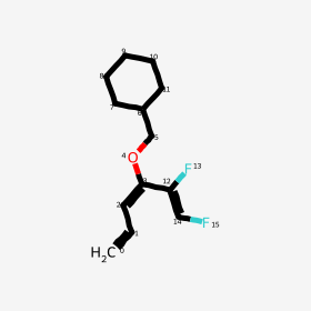 C=C/C=C(OCC1CCCCC1)\C(F)=C\F